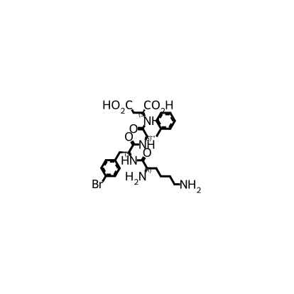 NCCCC[C@@H](N)C(=O)N[C@@H](Cc1ccc(Br)cc1)C(=O)N[C@@H](Cc1ccccc1)C(=O)N[C@@H](CC(=O)O)C(=O)O